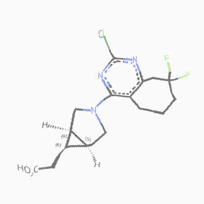 O=C(O)C[C@H]1[C@H]2CN(c3nc(Cl)nc4c3CCCC4(F)F)C[C@@H]12